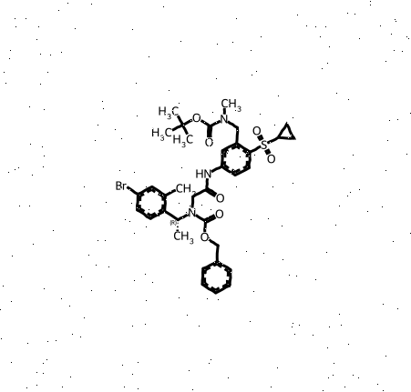 Cc1cc(Br)ccc1[C@@H](C)N(CC(=O)Nc1ccc(S(=O)(=O)C2CC2)c(CN(C)C(=O)OC(C)(C)C)c1)C(=O)OCc1ccccc1